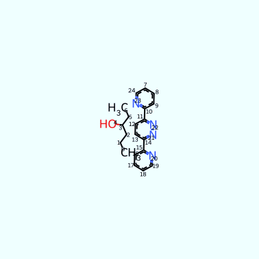 CCCC(O)CC.c1ccc(-c2ccc(-c3ccccn3)nn2)nc1